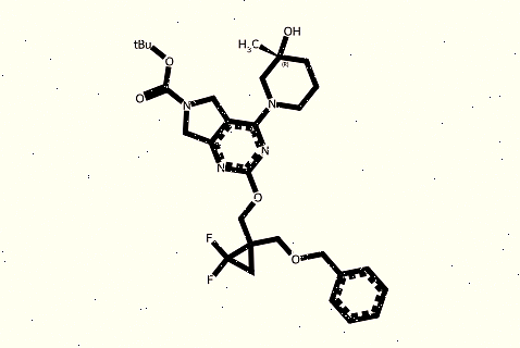 CC(C)(C)OC(=O)N1Cc2nc(OCC3(COCc4ccccc4)CC3(F)F)nc(N3CCC[C@@](C)(O)C3)c2C1